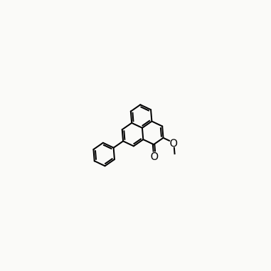 COC1=Cc2cccc3cc(-c4ccccc4)cc(c23)C1=O